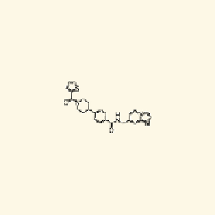 O=C(NCc1ccn2ccnc2c1)c1ccc(C2CCN(C(=O)c3cccs3)CC2)cc1